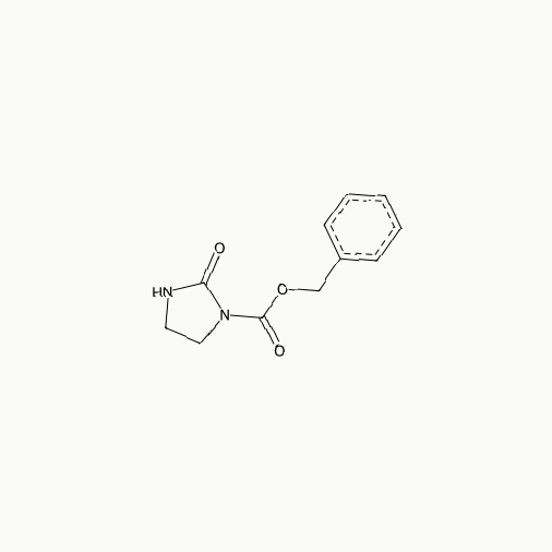 O=C1NCCN1C(=O)OCc1ccccc1